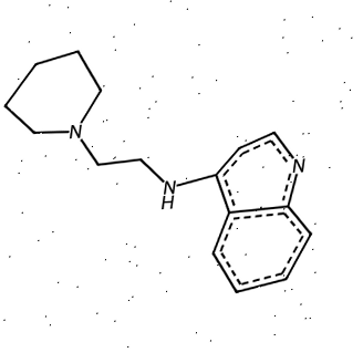 c1ccc2c(NCCN3CCCCC3)ccnc2c1